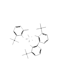 Cc1cccc(C(C)(C)C)c1[O][Nb]([Cl])([Cl])([O]c1c(C)cccc1C(C)(C)C)[O]c1c(C)cccc1C(C)(C)C